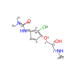 CC(C)NCC(O)COc1ccc(NC(=O)N(C)C)cc1Cl